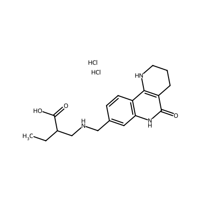 CCC(CNCc1ccc2c3c(c(=O)[nH]c2c1)CCCN3)C(=O)O.Cl.Cl